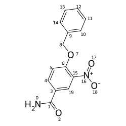 NC(=O)c1ccc(OCc2ccccc2)c([N+](=O)[O-])c1